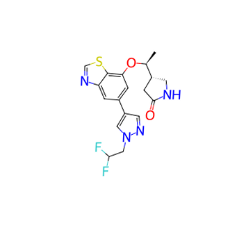 C[C@H](Oc1cc(-c2cnn(CC(F)F)c2)cc2ncsc12)[C@@H]1CNC(=O)C1